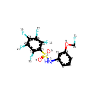 O=S(=O)(Nc1cccc(OCF)c1)c1c(F)c(F)c(F)c(F)c1F